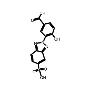 O=C(O)c1ccc(O)c(-n2nc3ccc(S(=O)(=O)O)cc3n2)c1